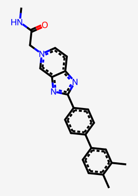 CNC(=O)Cn1ccc2nc(-c3ccc(-c4ccc(C)c(C)c4)cc3)nc-2c1